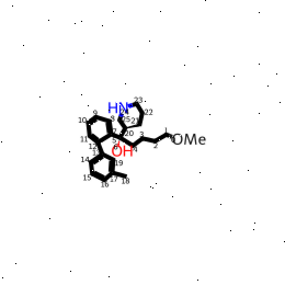 COCCCC[C@@](O)(c1ccccc1-c1cccc(C)c1)[C@@H]1CCCNC1